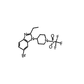 CCc1nc2ccc(Br)cc2n1C1CCN(S(=O)(=O)C(F)(F)F)CC1